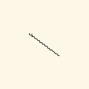 CCCCCCCCCCCCCCCCCCCCCCSCC